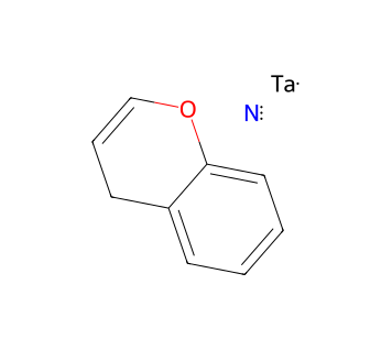 C1=COc2ccccc2C1.[N].[Ta]